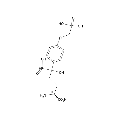 N[C@@H](CCC(O)(c1ccc(OCP(=O)(O)O)cc1)[PH](=O)O)C(=O)O